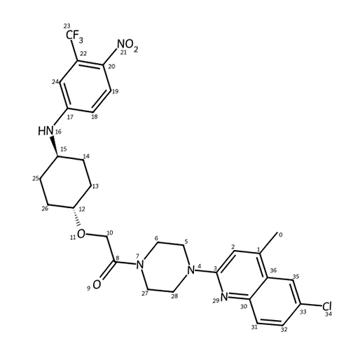 Cc1cc(N2CCN(C(=O)CO[C@H]3CC[C@H](Nc4ccc([N+](=O)[O-])c(C(F)(F)F)c4)CC3)CC2)nc2ccc(Cl)cc12